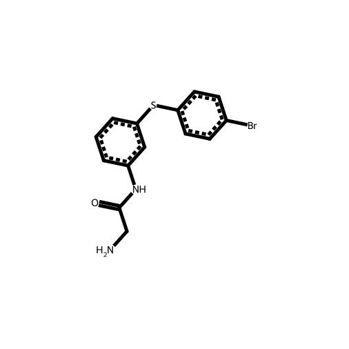 NCC(=O)Nc1cccc(Sc2ccc(Br)cc2)c1